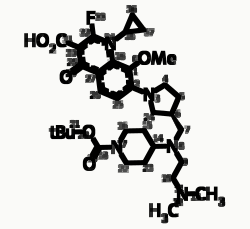 COc1c(N2CC[C@@H](CN(CCN(C)C)C3CCN(C(=O)OC(C)(C)C)CC3)C2)ccc2c(=O)c(C(=O)O)c(F)n(C3CC3)c12